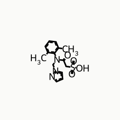 Cc1cccc(C)c1N(Cn1cccn1)C(=O)CS(=O)(=O)O